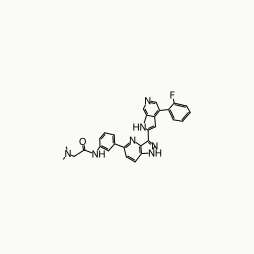 CN(C)CC(=O)Nc1cccc(-c2ccc3[nH]nc(-c4cc5c(-c6ccccc6F)cncc5[nH]4)c3n2)c1